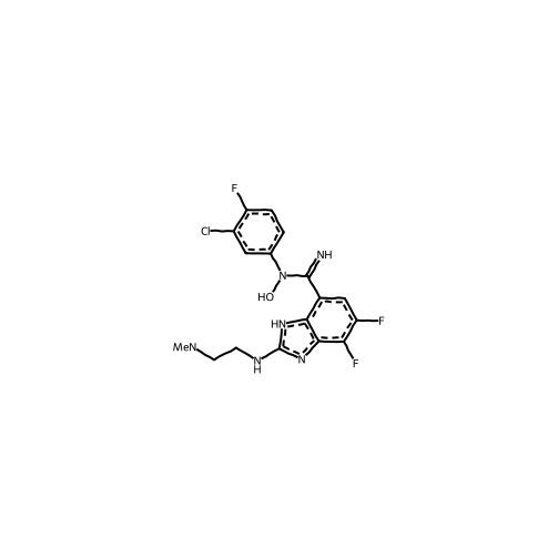 CNCCNc1nc2c(F)c(F)cc(C(=N)N(O)c3ccc(F)c(Cl)c3)c2[nH]1